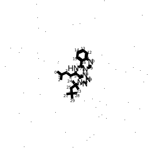 CC(C)CCC(Nc1ncnc2ccccc12)c1nnnn1C(C)(C)CC(C)(C)C